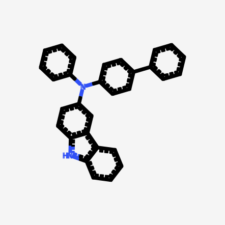 c1ccc(-c2ccc(N(c3ccccc3)c3ccc4[nH]c5ccccc5c4c3)cc2)cc1